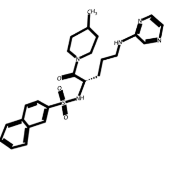 CC1CCN(C(=O)[C@H](CCCNc2cnccn2)NS(=O)(=O)c2ccc3ccccc3c2)CC1